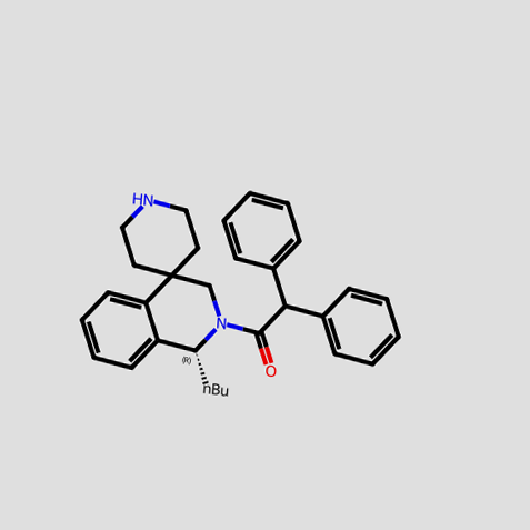 CCCC[C@@H]1c2ccccc2C2(CCNCC2)CN1C(=O)C(c1ccccc1)c1ccccc1